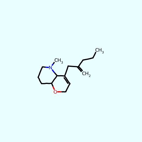 C=C(CCC)CC1=CCOC2CCCN(C)C12